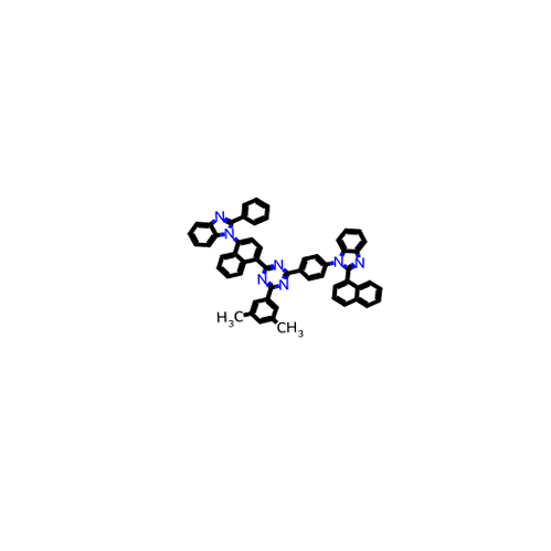 Cc1cc(C)cc(-c2nc(-c3ccc(-n4c(-c5cccc6ccccc56)nc5ccccc54)cc3)nc(-c3ccc(-n4c(-c5ccccc5)nc5ccccc54)c4ccccc34)n2)c1